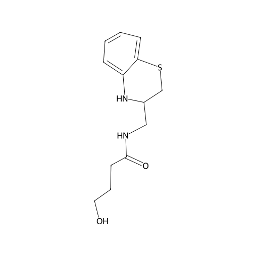 O=C(CCCO)NCC1CSc2ccccc2N1